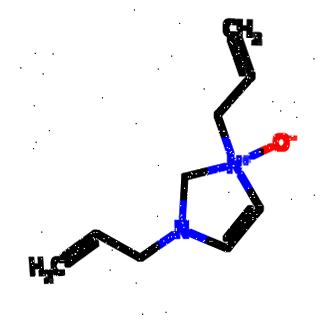 C=CCN1C=C[N+]([O-])(CC=C)C1